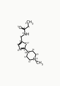 CCC(=O)NCc1cnc(N2CCN(C)CC2)s1